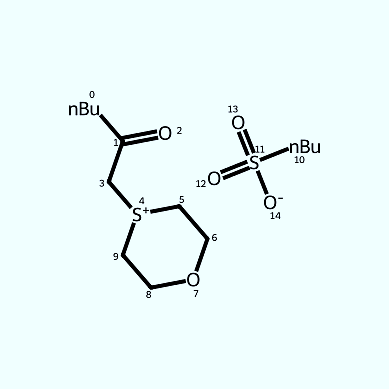 CCCCC(=O)C[S+]1CCOCC1.CCCCS(=O)(=O)[O-]